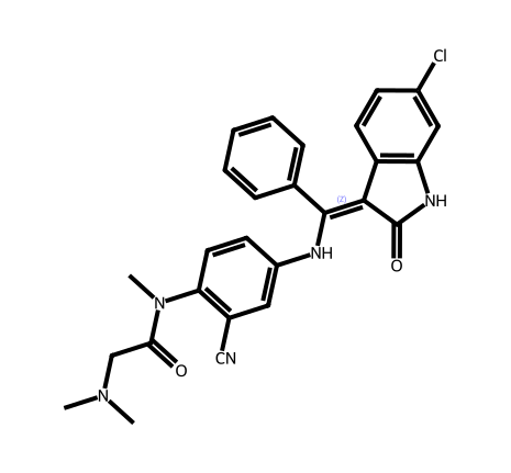 CN(C)CC(=O)N(C)c1ccc(N/C(=C2\C(=O)Nc3cc(Cl)ccc32)c2ccccc2)cc1C#N